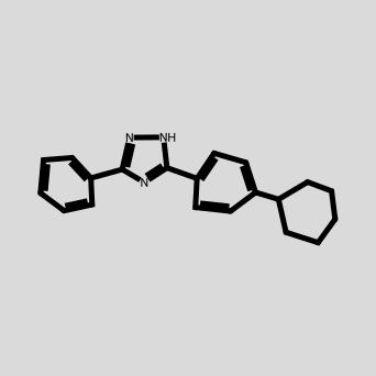 c1ccc(-c2n[nH]c(-c3ccc(C4CCCCC4)cc3)n2)cc1